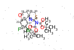 CC(C)(C)OC(=O)N(C(=O)OC(C)(C)C)C1=NC2(CCOc3cc(F)c(Br)cc32)CCS1